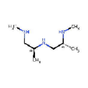 CNC[C@H](C)NC[C@@H](C)NC